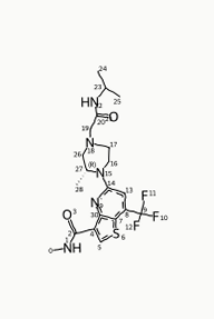 CNC(=O)c1csc2c(C(F)(F)F)cc(N3CCN(CC(=O)NC(C)C)C[C@H]3C)nc12